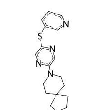 c1cncc(Sc2cnc(N3CCC4(CCCC4)CC3)cn2)c1